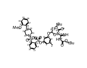 CCC(Oc1cc(C)cc(OS(=O)(=O)c2ccccc2S(=O)(=O)N2CCN(c3ccccc3OC)CC2)c1)ON(C(=N)NC(=O)OC(C)(C)C)C(=O)OC(C)(C)C